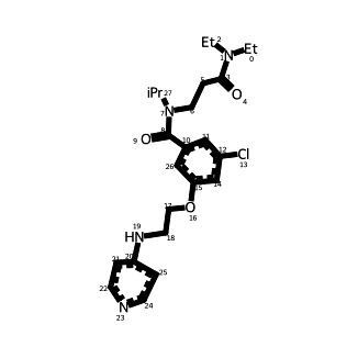 CCN(CC)C(=O)CCN(C(=O)c1cc(Cl)cc(OCCNc2ccncc2)c1)C(C)C